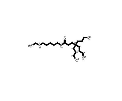 CCNCCCCCNC(=O)CCC(CCCO)(CCCO)CCCO